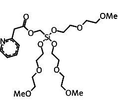 COCCOCCO[Si](COC(=O)Cc1ccccn1)(OCCOCCOC)OCCOCCOC